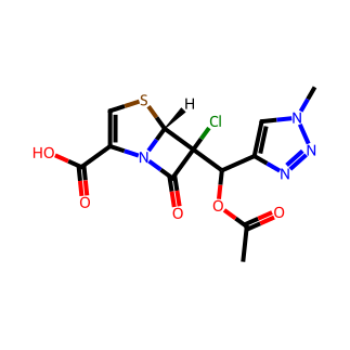 CC(=O)OC(c1cn(C)nn1)C1(Cl)C(=O)N2C(C(=O)O)=CS[C@@H]21